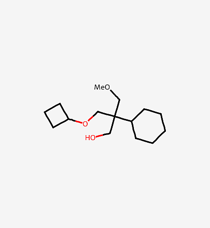 COCC(CO)(COC1CCC1)C1CCCCC1